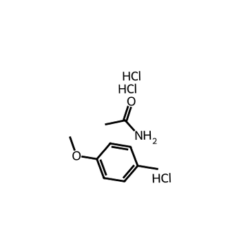 CC(N)=O.COc1ccc(C)cc1.Cl.Cl.Cl